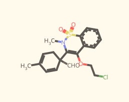 CC1=CCC(C=O)(C2=C(OCCCl)c3ccccc3S(=O)(=O)N2C)C=C1